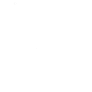 Cc1c2c(c(CC(C)C)c3ccc(CC(C)C)cc13)Oc1cc3ccc(-c4ccccc4)cc3c3cc[n+](C)c-2c13